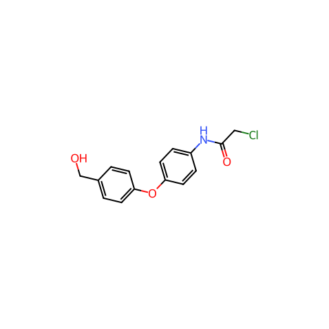 O=C(CCl)Nc1ccc(Oc2ccc(CO)cc2)cc1